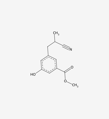 COC(=O)c1cc(O)cc(CC(C)C#N)c1